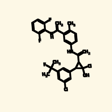 C=C(Nc1c(F)cccc1F)c1cc(NC(=C)C2C(c3cc(Cl)cc(C(C)(C)F)c3)C2(O)Cl)ccc1C